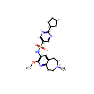 COc1nc2c(cc1NS(=O)(=O)c1cnc(C3CCCC3)nc1)CCN(C)CC2